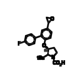 CC(C)(C)C1[C@@H](Oc2ccc(C3CO3)cc2-c2ccc(F)cc2)CCN1C(=O)O